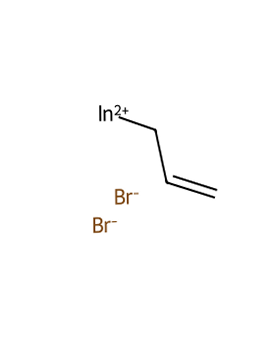 C=C[CH2][In+2].[Br-].[Br-]